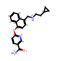 NC(=O)c1ccc(Oc2ccc(CNCCC3CC3)c3ccccc23)nc1